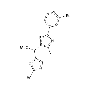 CCc1cc(-c2nc(C)c(C(OC)c3ccc(Br)o3)s2)ccn1